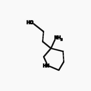 NC1(CCO)CCCNC1